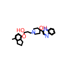 Cc1ccc(OC(O)CCN2CCC(O)(c3cnc4ccccc4n3)CC2)c2c1CCC2